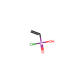 C=CP(=O)(O)Cl